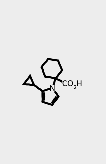 O=C(O)C1(n2cccc2C2CC2)CCCCC1